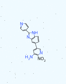 Nc1cc(-c2ccc3[nH]c(-c4ccncc4)nc3c2)cnc1[N+](=O)[O-]